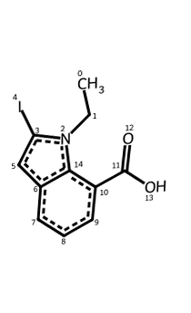 CCn1c(I)cc2cccc(C(=O)O)c21